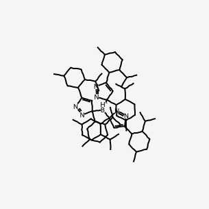 CC1CCC(C(C)C)C(C2=CC([BH-](C3(C4CC(C)CCC4C(C)C)C=C(C4CC(C)CCC4C(C)C)N=N3)C3(C4CC(C)CCC4C(C)C)C=C(C4CC(C)CCC4C(C)C)N=N3)(C3CC(C)CCC3C(C)C)N=N2)C1